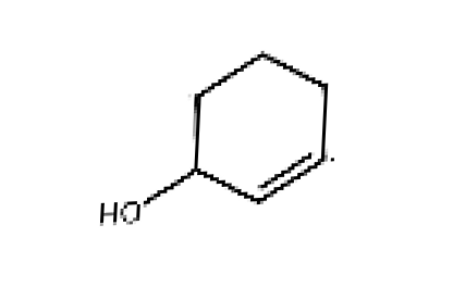 OC1[CH]CC[C]=C1